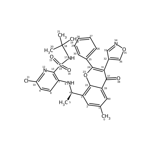 Cc1cc([C@@H](C)Nc2ccc(Cl)nc2S(=O)(=O)NC(C)(C)C)c2oc(-c3ccccc3)c(-c3cnoc3)c(=O)c2c1